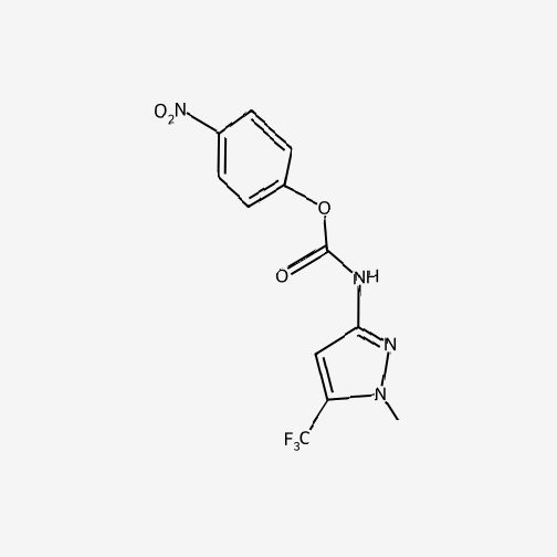 Cn1nc(NC(=O)Oc2ccc([N+](=O)[O-])cc2)cc1C(F)(F)F